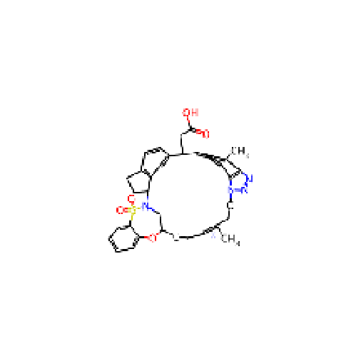 C/C1=C/CCC2CN(C3CCc4ccc(cc43)C(CC(=O)O)c3ccc4c(nnn4CC1)c3C)S(=O)(=O)c1ccccc1O2